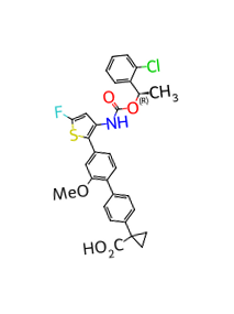 COc1cc(-c2sc(F)cc2NC(=O)O[C@H](C)c2ccccc2Cl)ccc1-c1ccc(C2(C(=O)O)CC2)cc1